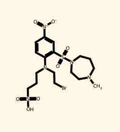 CN1CCCN(S(=O)(=O)c2cc([N+](=O)[O-])ccc2N(CCBr)CCCS(=O)(=O)O)CC1